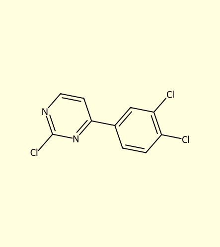 Clc1nccc(-c2ccc(Cl)c(Cl)c2)n1